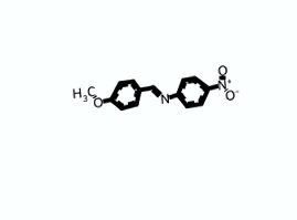 COc1ccc(C=Nc2ccc([N+](=O)[O-])cc2)cc1